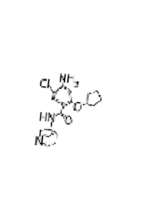 Nc1cc(OC2CCCC2)c(C(=O)NC2CN3CCC2CC3)cc1Cl